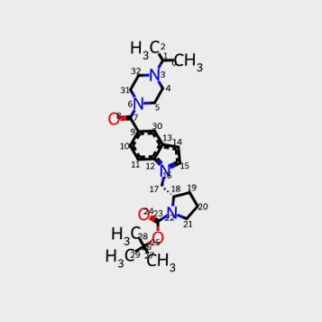 CC(C)N1CCN(C(=O)c2ccc3c(ccn3C[C@@H]3CCCN3C(=O)OC(C)(C)C)c2)CC1